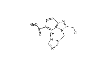 COC(=O)c1ccc2nc(CCl)n(Cc3cncn3C(C)C)c2c1